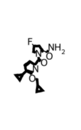 NC(=O)[C@@H]1C[C@@H](F)CN1C(=O)c1ccc(C2CC2)c(OCC2CC2)n1